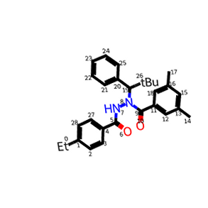 CCc1ccc(C(=O)NN(C(=O)c2cc(C)cc(C)c2)C(c2ccccc2)C(C)(C)C)cc1